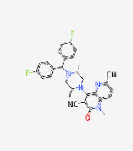 C[C@@H]1CN(c2c(C#N)c(=O)n(C)c3ccc(C#N)nc23)[C@@H](C)CN1C(c1ccc(F)cc1)c1ccc(F)cc1